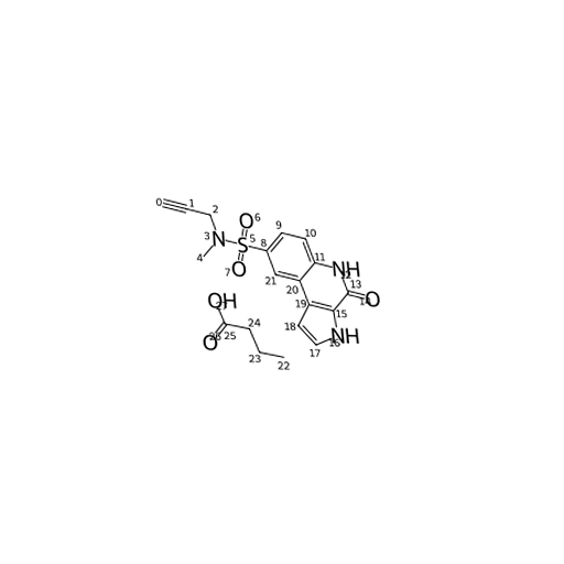 C#CCN(C)S(=O)(=O)c1ccc2[nH]c(=O)c3[nH]ccc3c2c1.CCCC(=O)O